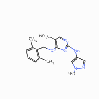 Cc1cccc(C)c1CNc1nc(Nc2cnn(C(C)(C)C)c2)ncc1C(=O)O